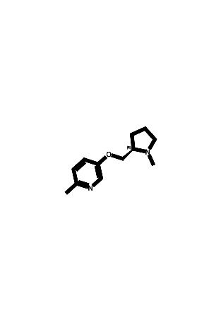 Cc1ccc(OC[C@H]2CCCN2C)cn1